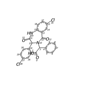 O=C(O)C(c1ccccc1)N1C(=O)c2cc(Cl)ccc2NC(=O)C1c1ccc(Cl)cc1